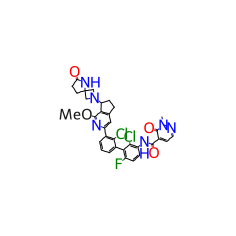 COc1nc(-c2cccc(-c3c(F)ccc(NC(=O)c4ccnn(C)c4=O)c3Cl)c2Cl)cc2c1C(N1CC3(CCC(=O)N3)C1)CC2